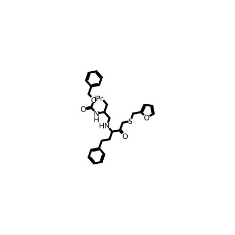 CC(C)CC(CNC(CCc1ccccc1)C(=O)CSCc1ccco1)NC(=O)OCc1ccccc1